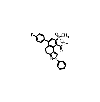 CS(=O)(=O)c1cc(-c2ccc(F)cc2)c2c(c1C(=O)O)-c1cn(-c3ccccc3)nc1CC2